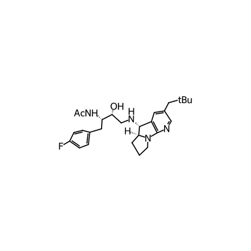 CC(=O)N[C@@H](Cc1ccc(F)cc1)[C@H](O)CN[C@@H]1c2cc(CC(C)(C)C)cnc2N2CCC[C@@H]12